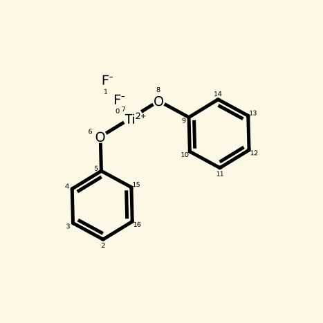 [F-].[F-].c1ccc([O][Ti+2][O]c2ccccc2)cc1